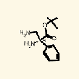 CC(C)(C)OC(=O)[C@](N)(CN)c1ccccc1